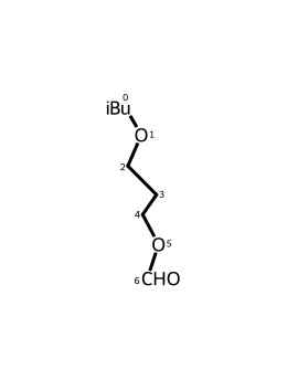 CCC(C)OCCCOC=O